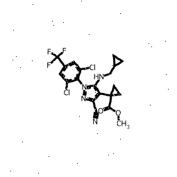 COC(=O)C1(c2c(C#N)nn(-c3c(Cl)cc(C(F)(F)F)cc3Cl)c2NCC2CC2)CC1